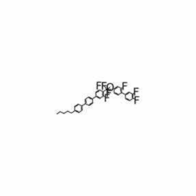 CCCCCc1ccc(-c2ccc(-c3cc(F)c(C(F)(F)Oc4ccc(-c5ccc(F)c(F)c5)c(F)c4)c(F)c3)cc2)cc1